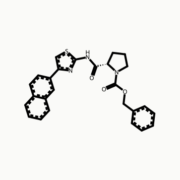 O=C(Nc1nc(-c2ccc3ccccc3c2)cs1)[C@@H]1CCCN1C(=O)OCc1ccccc1